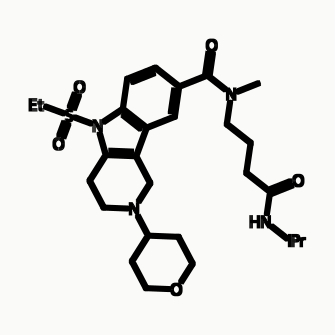 CCS(=O)(=O)n1c2c(c3cc(C(=O)N(C)CCCC(=O)NC(C)C)ccc31)CN(C1CCOCC1)CC2